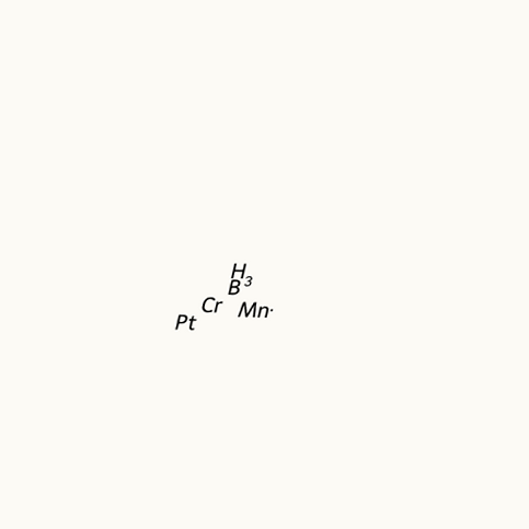 B.[Cr].[Mn].[Pt]